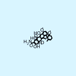 COc1cc(OC)c2c(O)c3c(c4c2c1[C@@]1(C4)C(C)=CCCC1(C)C)C(=O)[C@H]1CC(O)=C(C(N)=O)C[C@@]1(O)C3=O